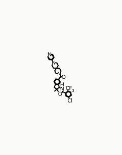 CC1(C)Cc2ccc(C(=O)N3CCC4(CC3)CCN(c3ccncc3)CC4)cc2C1NC(=O)c1cc(Cl)ccc1C(F)(F)F